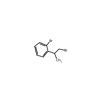 CC(CBr)c1ccccc1Br